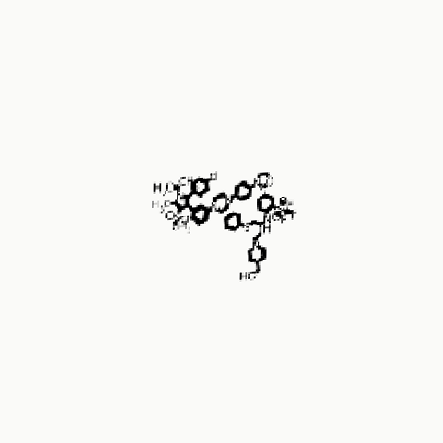 Cc1c(S(C)(=O)=O)c(-c2cccc(N3CCN(c4ccc(N5CCO[P@@]5c5ccc(N[C@H](CCN6CCC(CO)CC6)CSc6ccccc6)c(S(=O)(=O)C(F)(F)F)c5)cc4)CC3)c2)c(-c2ccc(Cl)cc2)n1C(C)C